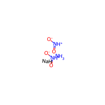 N.O=[NH+][O-].O=[NH+][O-].[NaH]